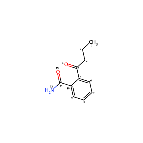 CCCC(=O)c1ccccc1C(N)=O